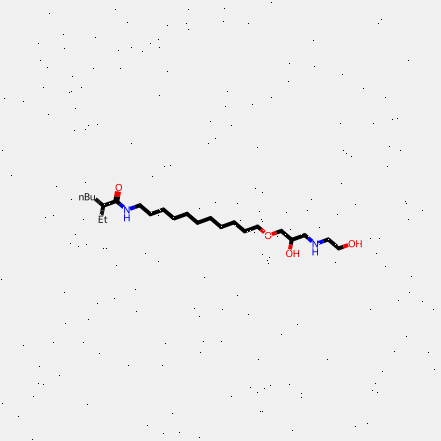 CCCCC(CC)C(=O)NCCCCCCCCCCCOCC(O)CNCCO